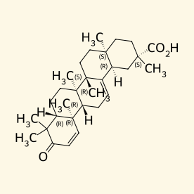 CC1(C)C(=O)C=C[C@]2(C)[C@H]3CC=C4[C@@H]5C[C@@](C)(C(=O)O)CC[C@]5(C)CC[C@@]4(C)[C@]3(C)CC[C@@H]12